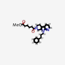 COC(=O)CCCCC(=O)N1CCc2c(n(CCCc3ccccc3)c3ncccc23)C1